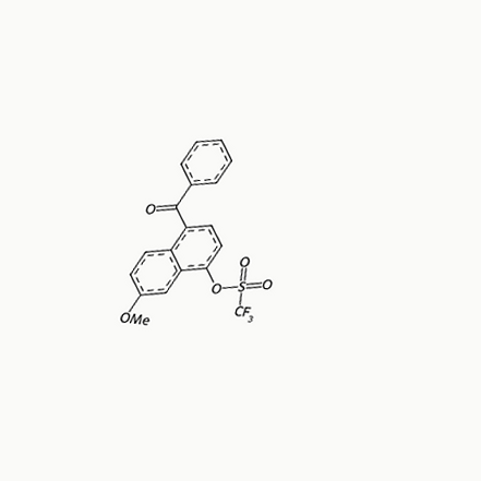 COc1ccc2c(C(=O)c3ccccc3)ccc(OS(=O)(=O)C(F)(F)F)c2c1